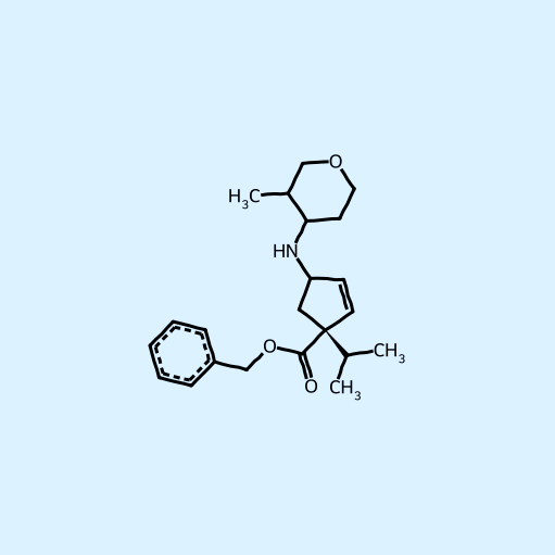 CC1COCCC1NC1C=C[C@@](C(=O)OCc2ccccc2)(C(C)C)C1